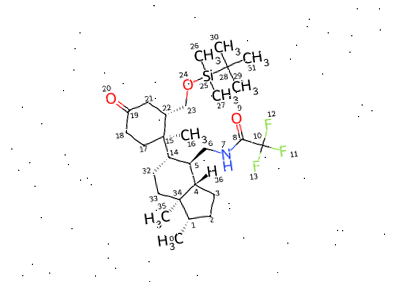 C[C@H]1CC[C@H]2[C@H](CNC(=O)C(F)(F)F)[C@@H]([C@@]3(C)CCC(=O)C[C@@H]3CO[Si](C)(C)C(C)(C)C)CC[C@]12C